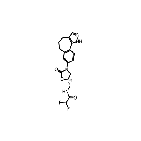 O=C(NC[C@H]1CN(c2ccc3c(c2)CCCc2cn[nH]c2-3)C(=O)O1)C(F)F